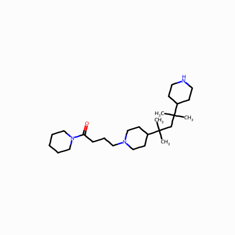 CC(C)(CC(C)(C)C1CCN(CCCC(=O)N2CCCCC2)CC1)C1CCNCC1